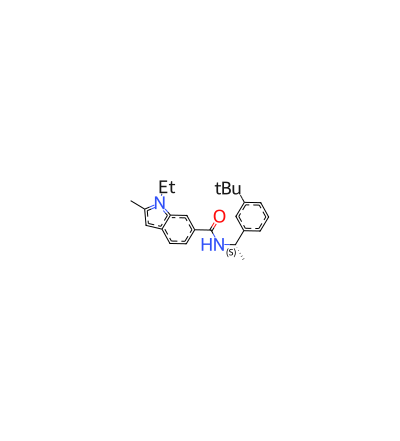 CCn1c(C)cc2ccc(C(=O)N[C@@H](C)c3cccc(C(C)(C)C)c3)cc21